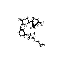 O=C(Nc1cccc(CN2N=C(c3ccc(Cl)cc3)CSC2=O)c1)OCCO